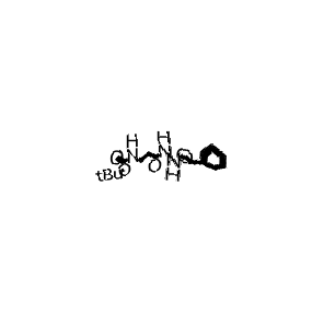 CC(C)(C)OC(=O)NCCC(=O)NNOCc1ccccc1